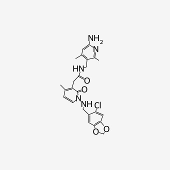 Cc1cc(N)nc(C)c1CNC(=O)Cc1c(C)ccn(NCc2cc3c(cc2Cl)OCO3)c1=O